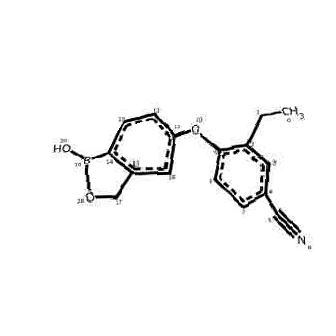 CCc1cc(C#N)ccc1Oc1ccc2c(c1)COB2O